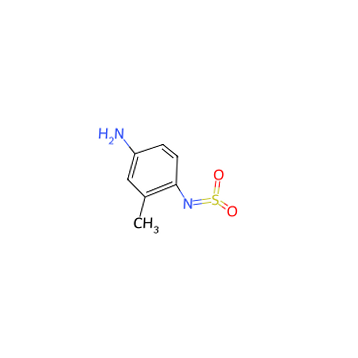 Cc1cc(N)ccc1N=S(=O)=O